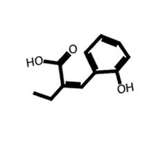 CCC(=Cc1ccccc1O)C(=O)O